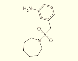 Nc1cccc(CS(=O)(=O)N2CCCCCC2)c1